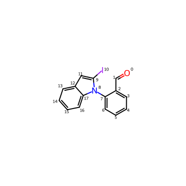 O=Cc1ccccc1-n1c(I)cc2ccccc21